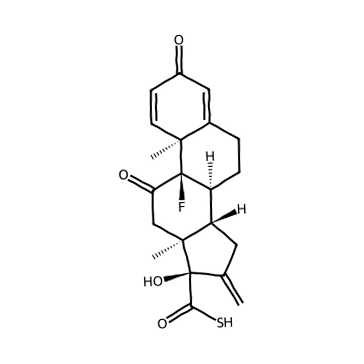 C=C1C[C@H]2[C@@H]3CCC4=CC(=O)C=C[C@]4(C)[C@@]3(F)C(=O)C[C@]2(C)[C@@]1(O)C(=O)S